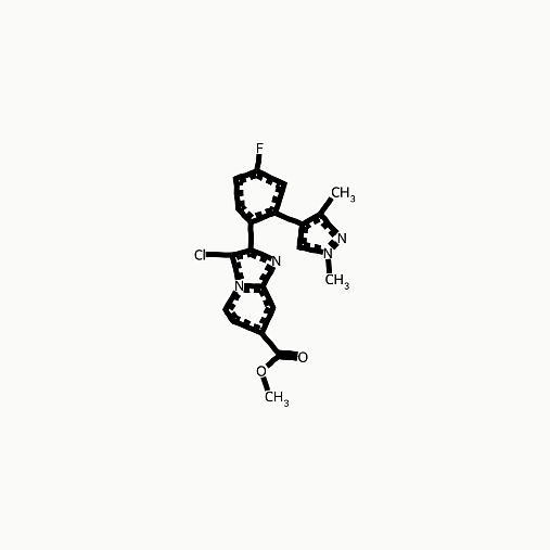 COC(=O)c1ccn2c(Cl)c(-c3ccc(F)cc3-c3cn(C)nc3C)nc2c1